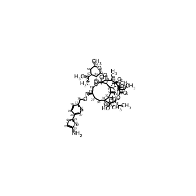 CCC(=O)/N=C1\[C@H](C)C[C@@]2(C)OC/C(=N/OCc3ccc(-c4nc(N)cs4)cn3)CC[C@H]([C@H]1C)[C@](C)(O)[C@@H](CC)OC(=O)[C@@](C)(F)C(=O)C(C)[C@H]2O[C@@H]1O[C@H](C)C[C@H](N(C)C)[C@H]1O